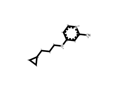 N#Cc1cc(OCCCC2CC2)ccn1